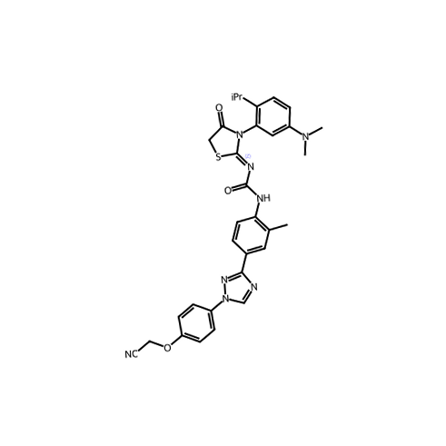 Cc1cc(-c2ncn(-c3ccc(OCC#N)cc3)n2)ccc1NC(=O)/N=C1\SCC(=O)N1c1cc(N(C)C)ccc1C(C)C